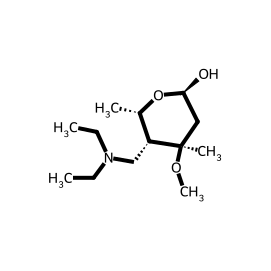 CCN(CC)C[C@@H]1[C@H](C)O[C@@H](O)C[C@@]1(C)OC